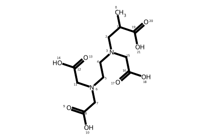 CC(CN(CCN(CC(=O)O)CC(=O)O)CC(=O)O)C(=O)O